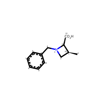 C[C@H]1CN(Cc2ccccc2)C1C(=O)O